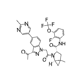 CC(=O)c1nn(CC(=O)N2[C@H](C(=O)Nc3cccc(OC(F)(F)F)c3F)CC3(C)C[C@@H]23)c2ccc(-c3cnc(C)nc3)cc12